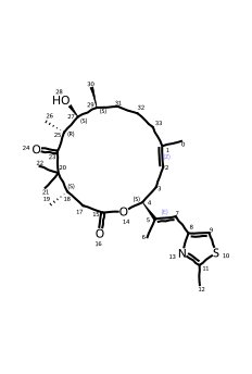 C/C1=C/C[C@@H](/C(C)=C/c2csc(C)n2)OC(=O)C[C@H](C)C(C)(C)C(=O)[C@H](C)[C@@H](O)[C@@H](C)CCC1